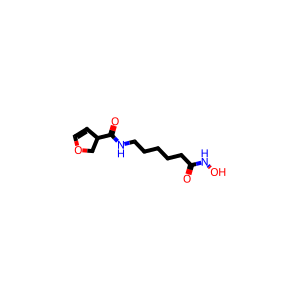 O=C(CCCCCNC(=O)C1C=COC1)NO